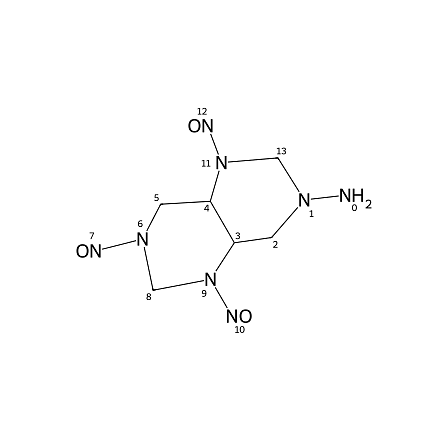 NN1CC2C(CN(N=O)CN2N=O)N(N=O)C1